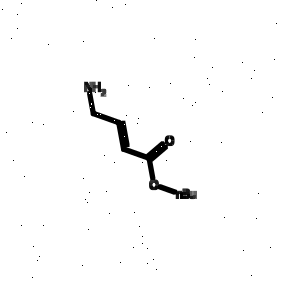 CCCCOC(=O)C=CCN